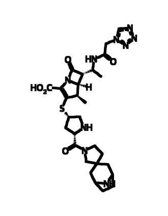 CC(NC(=O)Cn1cnnn1)[C@H]1C(=O)N2C(C(=O)O)=C(S[C@@H]3CN[C@H](C(=O)N4CCC5(CC6CCC(C5)N6)C4)C3)[C@H](C)[C@H]12